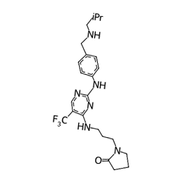 CC(C)CNCc1ccc(Nc2ncc(C(F)(F)F)c(NCCCN3CCCC3=O)n2)cc1